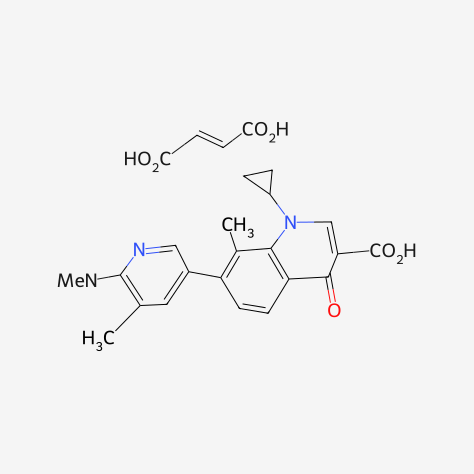 CNc1ncc(-c2ccc3c(=O)c(C(=O)O)cn(C4CC4)c3c2C)cc1C.O=C(O)C=CC(=O)O